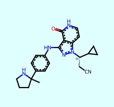 CC1(c2ccc(Nc3nn([C@@H](CC#N)C4CC4)c4cc[nH]c(=O)c34)cc2)CCCN1